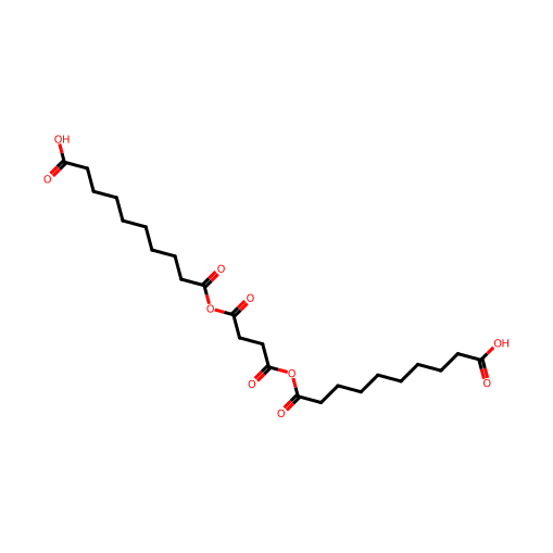 O=C(O)CCCCCCCCC(=O)OC(=O)CCC(=O)OC(=O)CCCCCCCCC(=O)O